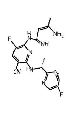 C/C(N)=C/C(=N)Nc1nc(N[C@H](C)c2ncc(F)cn2)c(C#N)cc1F